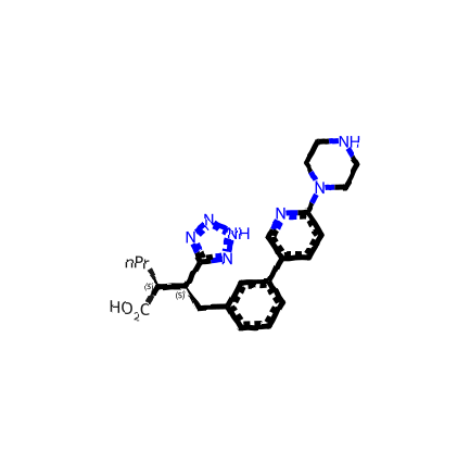 CCC[C@H](C(=O)O)[C@H](Cc1cccc(-c2ccc(N3CCNCC3)nc2)c1)c1nn[nH]n1